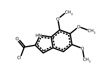 COc1cc2cc(C(=O)Cl)[nH]c2c(OC)c1OC